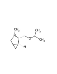 CC(C)OC[C@@H]1[C@H]2CC2CN1C